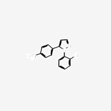 O=[N+]([O-])c1ccc(-c2ccnn2-c2ccccc2Cl)cc1